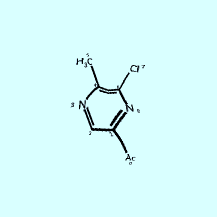 CC(=O)c1cnc(C)c(Cl)n1